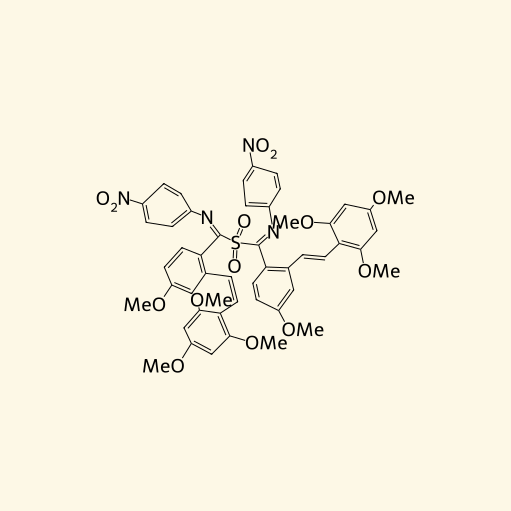 COc1ccc(C(=Nc2ccc([N+](=O)[O-])cc2)S(=O)(=O)C(=Nc2ccc([N+](=O)[O-])cc2)c2ccc(OC)cc2C=Cc2c(OC)cc(OC)cc2OC)c(C=Cc2c(OC)cc(OC)cc2OC)c1